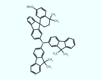 COc1ccc2c(c1)C1(CCC2(C)C)c2ccccc2-c2ccc(N(c3ccc4c(c3)C(C)(C)c3ccccc3-4)c3ccc4c(c3)C(C)(C)c3ccccc3-4)cc21